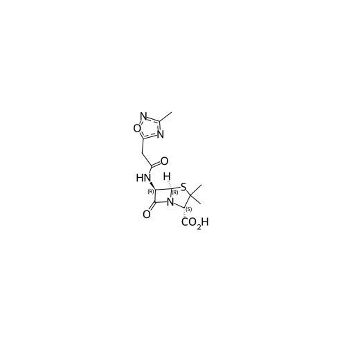 Cc1noc(CC(=O)N[C@@H]2C(=O)N3[C@@H]2SC(C)(C)[C@@H]3C(=O)O)n1